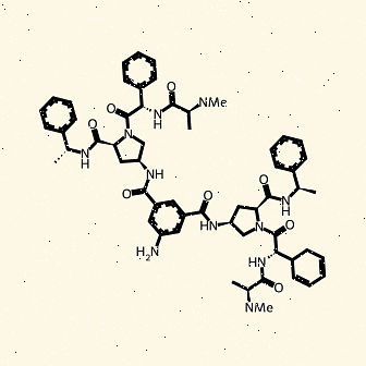 CN[C@@H](C)C(=O)N[C@H](C(=O)N1C[C@@H](NC(=O)c2cc(N)cc(C(=O)N[C@H]3C[C@@H](C(=O)N[C@H](C)c4ccccc4)N(C(=O)[C@@H](NC(=O)[C@H](C)NC)C4C=CC=CC4)C3)c2)C[C@H]1C(=O)N[C@H](C)c1ccccc1)c1ccccc1